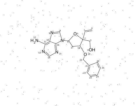 C=CC1(CO)OC(n2cnc3c(N)ncnc32)CC1OCc1ccccc1